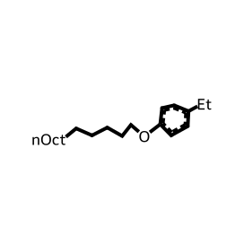 CCCCCCCCCCCCCOc1ccc(CC)cc1